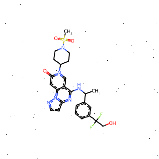 CC(Nc1nc2ccnn2c2cc(=O)n(C3CCN(S(C)(=O)=O)CC3)cc12)c1cccc(C(F)(F)CO)c1